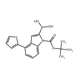 CC(C)(C)OC(=O)n1c(B(O)O)cc2c(-c3cccs3)cccc21